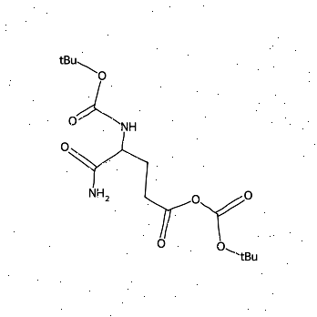 CC(C)(C)OC(=O)NC(CCC(=O)OC(=O)OC(C)(C)C)C(N)=O